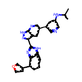 CC(C)Nc1cncc(-c2cnc3[nH]nc(-c4nc5c(-c6ccoc6)cccc5[nH]4)c3c2)c1